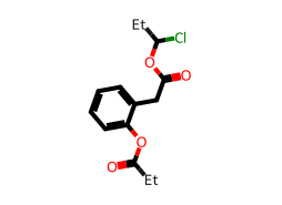 CCC(=O)Oc1ccccc1CC(=O)OC(Cl)CC